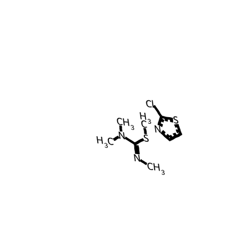 CN=C(SC)N(C)C.Clc1nccs1